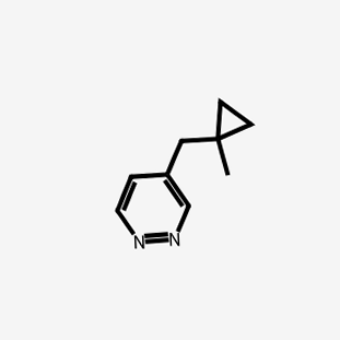 CC1(Cc2ccnnc2)CC1